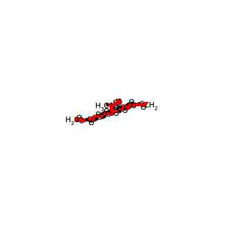 C=CC(=O)OCCCCOC(=O)C1CCC(C(=O)OC2CCC(C(=O)Oc3ccc(OC(=O)C4CCC(OC(=O)C5CCC(C(=O)OCCCCOC(=O)C=C)CC5)CC4)c(/C=N/N(CCCC)c4nc5ccccc5s4)c3)CC2)CC1